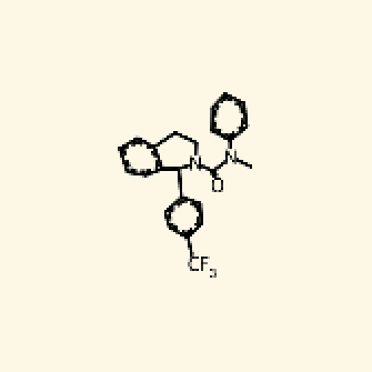 CN(C(=O)N1CCc2ccccc2C1c1ccc(C(F)(F)F)cc1)c1ccccc1